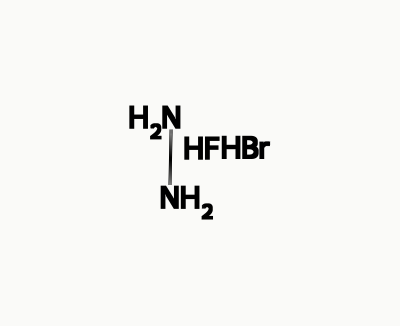 Br.F.NN